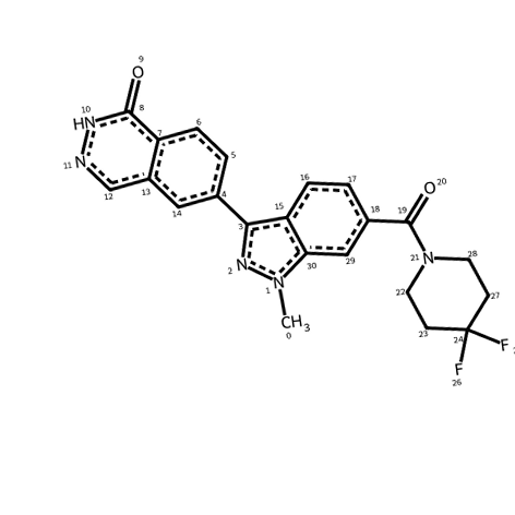 Cn1nc(-c2ccc3c(=O)[nH]ncc3c2)c2ccc(C(=O)N3CCC(F)(F)CC3)cc21